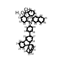 CC1(C)c2ccccc2-c2c(N(c3ccc(-c4ccc5c(c4)-c4ccccc4C54C5CC6CC(C5)CC4C6)cc3)c3ccc4ccccc4c3)cccc21